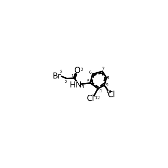 O=C(CBr)Nc1cccc(Cl)c1Cl